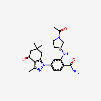 CC(=O)N1CC[C@H](Nc2cc(-n3nc(C)c4c3CC(C)(C)CC4=O)ccc2C(N)=O)C1